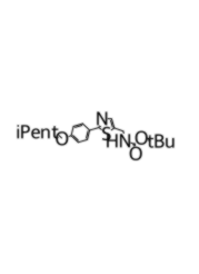 CCCC(C)Oc1ccc(-c2ncc(CNC(=O)OC(C)(C)C)s2)cc1